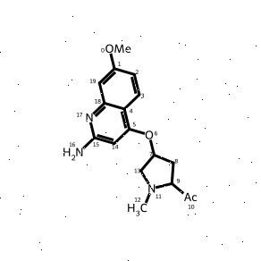 COc1ccc2c(OC3CC(C(C)=O)N(C)C3)cc(N)nc2c1